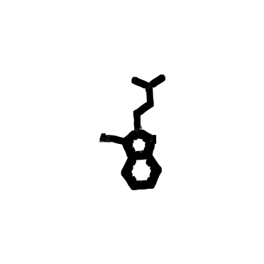 CC(=O)c1c2ccccc2nn1CCN(C)C